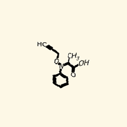 C#CCON(c1ccccc1)[C@@H](C)C(=O)O